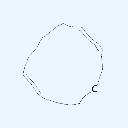 C1=C\CCCC/C=C\CCC/1